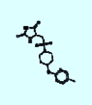 Cc1ccc(OC2CCN(S(=O)(=O)CC3NC(=O)NC3=O)CC2)nc1